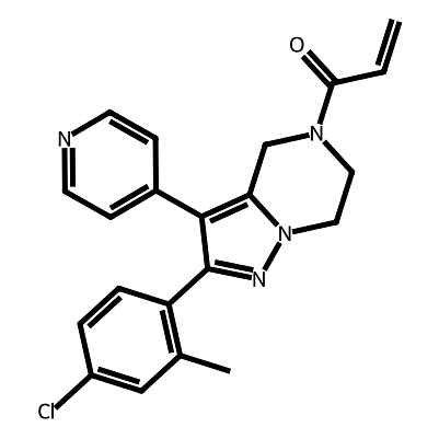 C=CC(=O)N1CCn2nc(-c3ccc(Cl)cc3C)c(-c3ccncc3)c2C1